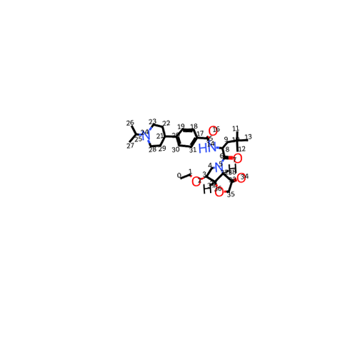 CCO[C@H]1CN(C(=O)C(CC(C)(C)C)NC(=O)c2ccc(C3CCN(C(C)C)CC3)cc2)[C@@H]2C(=O)CO[C@H]12